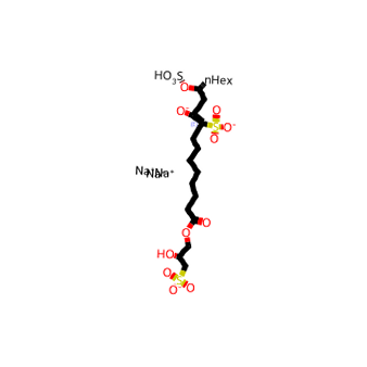 CCCCCCC(C/C([O-])=C(/CCCCCCCC(=O)OCC(O)CS(=O)(=O)[O-])S(=O)(=O)[O-])OS(=O)(=O)O.[Na+].[Na+].[Na+]